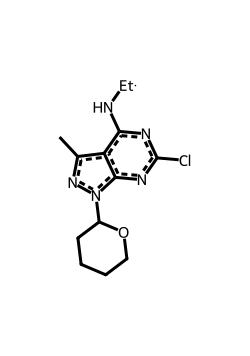 C[CH]Nc1nc(Cl)nc2c1c(C)nn2C1CCCCO1